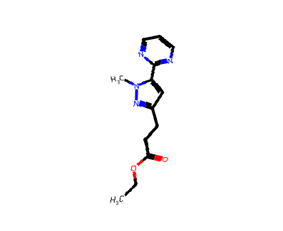 CCOC(=O)CCc1cc(-c2ncccn2)n(C)n1